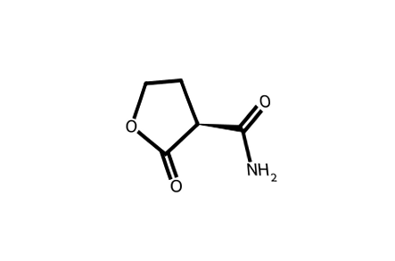 NC(=O)[C@@H]1CCOC1=O